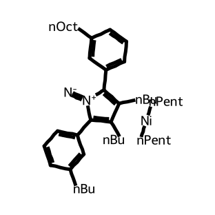 CCCCCCCCc1cccc(C2=C(CCCC)C(CCCC)=C(c3cccc(CCCC)c3)[N+]2=[N-])c1.CCCC[CH2][Ni][CH2]CCCC